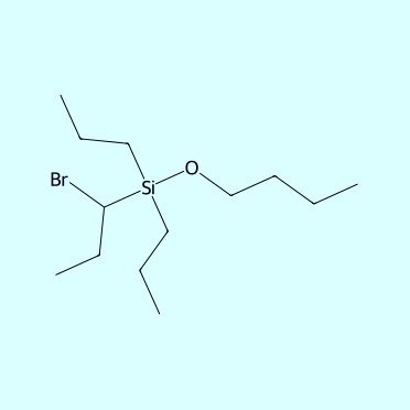 CCCCO[Si](CCC)(CCC)C(Br)CC